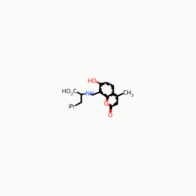 Cc1cc(=O)oc2c(CNC(CC(C)C)C(=O)O)c(O)ccc12